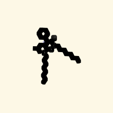 CCCCCCCCOC(=O)/C(CC(C)C)=C(\C(=O)OCCCCCCCC)C1CCCCC1